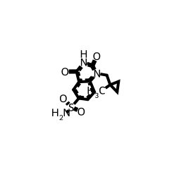 CC1(Cn2c(=O)[nH]c(=O)c3cc(S(N)(=O)=O)ccc32)CC1